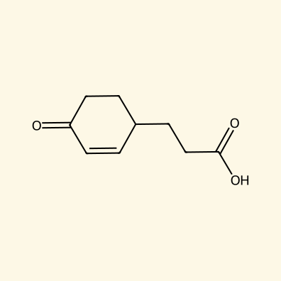 O=C(O)CCC1C=CC(=O)CC1